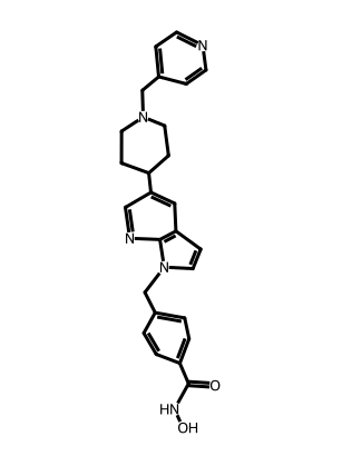 O=C(NO)c1ccc(Cn2ccc3cc(C4CCN(Cc5ccncc5)CC4)cnc32)cc1